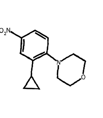 O=[N+]([O-])c1ccc(N2CCOCC2)c(C2CC2)c1